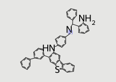 Nc1ccccc1C(/N=C/c1ccc(Nc2cc3c(cc2-c2cccc(-c4ccccc4)c2)sc2ccccc23)cc1)c1ccccc1